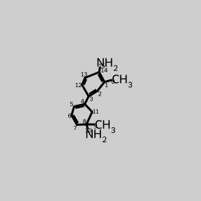 Cc1cc(C2=CC=CC(C)(N)C2)ccc1N